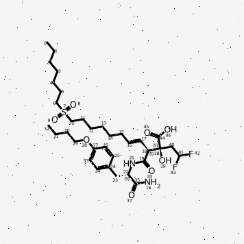 CCCCCCCS(=O)(=O)CCCCCCC=C[C@H](C(=O)N[C@@H](Cc1ccc(OCCCC)cc1)C(N)=O)[C@@](O)(CC(F)F)C(=O)O